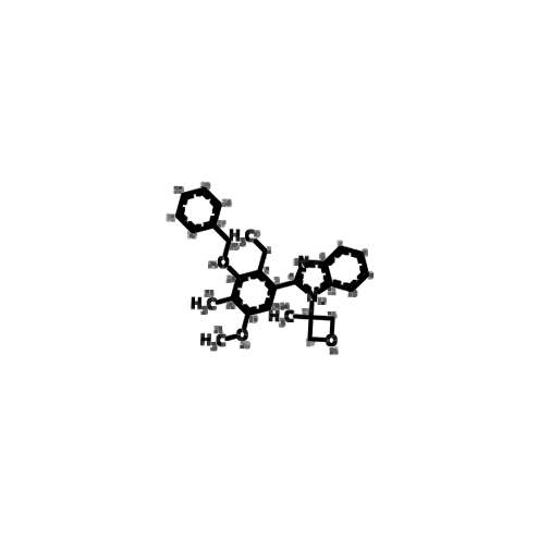 CCc1c(-c2nc3ccccc3n2C2(C)COC2)cc(OC)c(C)c1OCc1ccccc1